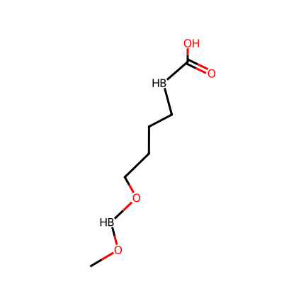 COBOCCCCBC(=O)O